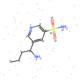 CCCC(N)c1cncc(S(N)(=O)=O)c1